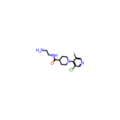 NCCNC(=O)C1CCN(c2c(Cl)cncc2I)CC1